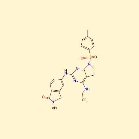 CCCN1Cc2cc(Nc3nc(NCC(F)(F)F)c4ccn(S(=O)(=O)c5ccc(C)cc5)c4n3)ccc2C1=O